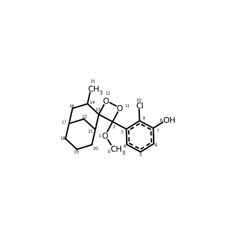 COC1(c2cccc(O)c2Cl)OOC12C(C)CC1CCCC2C1